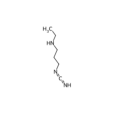 CCNCCCN=C=N